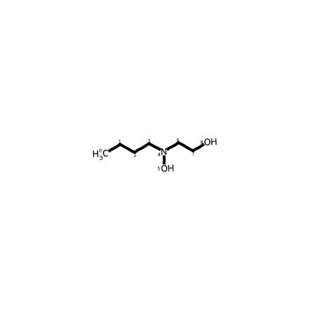 CCCCN(O)CCO